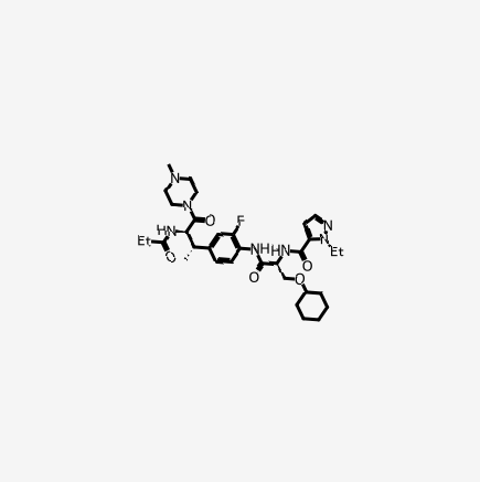 CCC(=O)N[C@@H](C(=O)N1CCN(C)CC1)[C@@H](C)c1ccc(NC(=O)[C@H](COC2CCCCC2)NC(=O)c2ccnn2CC)c(F)c1